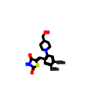 COc1cc(/C=C2\SC(=O)NC2=O)c(N2CCC(CO)CC2)cc1OC